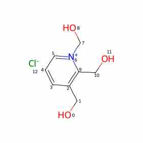 OCc1ccc[n+](CO)c1CO.[Cl-]